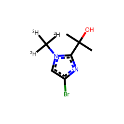 [2H]C([2H])([2H])n1cc(Br)nc1C(C)(C)O